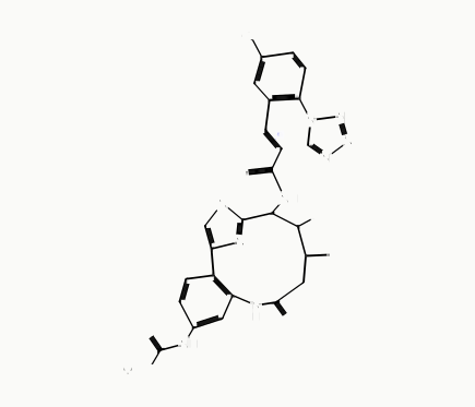 COC(=O)Nc1ccc2c(c1)NC(=O)CC(O)C(O)C(NC(=O)/C=C/c1cc(Cl)ccc1-n1cnnn1)c1nc-2c[nH]1